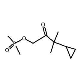 CC(C)(C(=O)COP(C)(C)=O)C1CC1